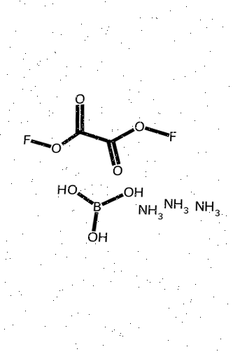 N.N.N.O=C(OF)C(=O)OF.OB(O)O